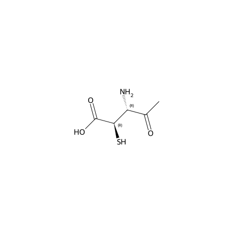 CC(=O)[C@@H](N)[C@@H](S)C(=O)O